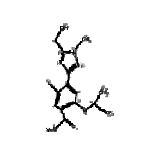 COC(=O)c1cc(F)c(-c2nc(CO)n(C)n2)cc1O[C@@H](C)C(F)(F)F